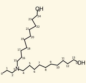 CCCN(CCCCCCCCCCO)CCCCCCCCCCO